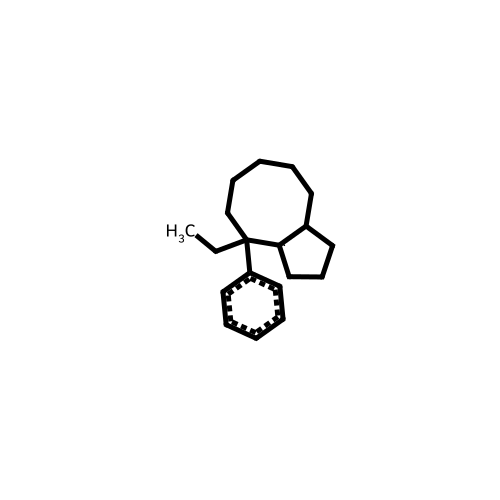 CCC1(c2ccccc2)CCCCCC2CCC[C]21